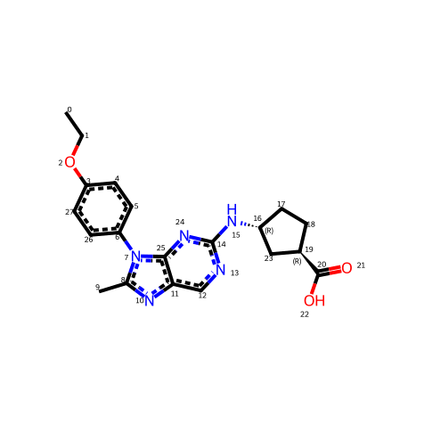 CCOc1ccc(-n2c(C)nc3cnc(N[C@@H]4CC[C@@H](C(=O)O)C4)nc32)cc1